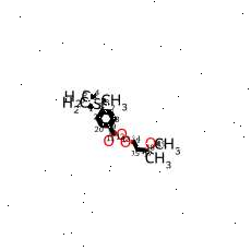 C=C[Si](C)(C=C)c1ccc(C(=O)OO[CH]CC(C)OC)cc1